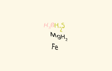 B.S.[Fe].[MgH2]